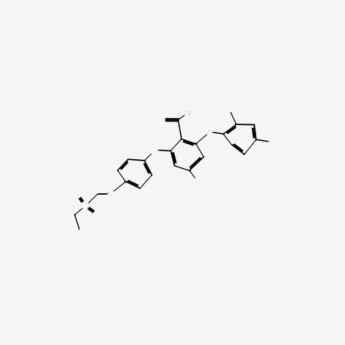 CCS(=O)(=O)CNc1ccc(Oc2cc(F)cc(Nc3ccc(I)cc3F)c2C(N)=O)cc1